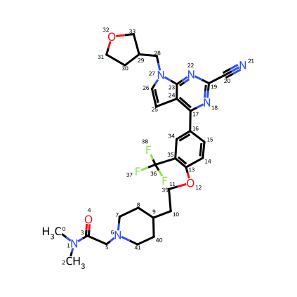 CN(C)C(=O)CN1CCC(CCOc2ccc(-c3nc(C#N)nc4c3ccn4CC3CCOC3)cc2C(F)(F)F)CC1